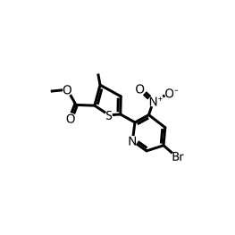 COC(=O)c1sc(-c2ncc(Br)cc2[N+](=O)[O-])cc1C